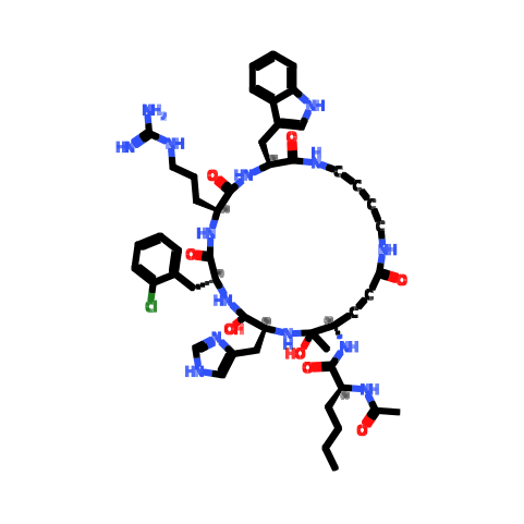 CCCC[C@H](NC(C)=O)C(=O)N[C@H]1CCC(=O)NCCCCNC(=O)[C@H](Cc2c[nH]c3ccccc23)NC(=O)[C@H](CCCNC(=N)N)NC(=O)[C@@H](Cc2ccccc2Cl)NC(O)[C@H](Cc2c[nH]cn2)NC1(C)O